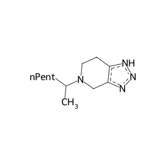 CCCCCC(C)N1CCc2[nH]nnc2C1